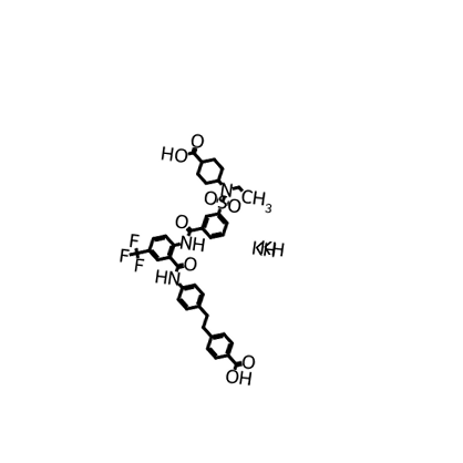 CCN(C1CCC(C(=O)O)CC1)S(=O)(=O)c1cccc(C(=O)Nc2ccc(C(F)(F)F)cc2C(=O)Nc2ccc(CCc3ccc(C(=O)O)cc3)cc2)c1.[KH].[KH]